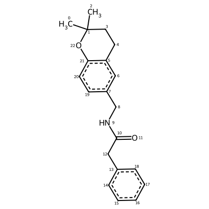 CC1(C)CCc2cc(CNC(=O)Cc3ccccc3)ccc2O1